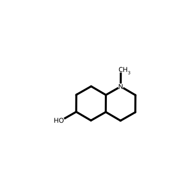 CN1CCCC2CC(O)CCC21